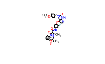 COc1ccc(CN2Cc3c(Oc4ccc(NC(=O)c5c(C)n(CC(C)(C)O)n(-c6ccccc6)c5=O)cc4F)ccnc3NC2=O)cc1